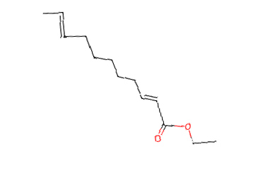 C/C=C/CCCCC/C=C/C(=O)OCC